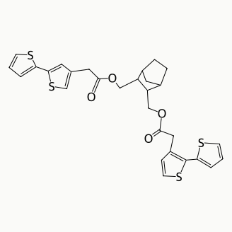 O=C(Cc1csc(-c2cccs2)c1)OCC1C2CCC(C2)C1COC(=O)Cc1ccsc1-c1cccs1